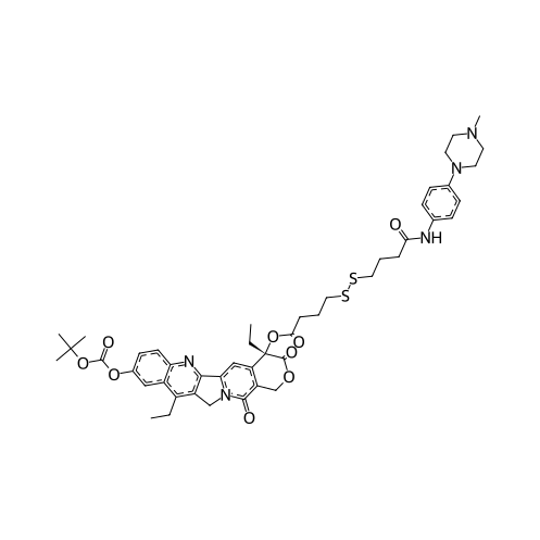 CCc1c2c(nc3ccc(OC(=O)OC(C)(C)C)cc13)-c1cc3c(c(=O)n1C2)COC(=O)[C@@]3(CC)OC(=O)CCCSSCCCC(=O)Nc1ccc(N2CCN(C)CC2)cc1